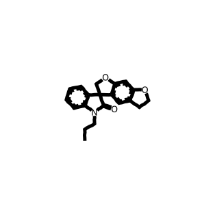 CCCN1C(=O)C2(COc3cc4c(cc32)CCO4)c2ccccc21